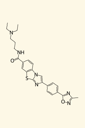 CCN(CC)CCCNC(=O)c1ccc2c(c1)sc1nc(-c3ccc(-c4nc(C)no4)cc3)cn12